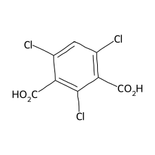 O=C(O)c1c(Cl)cc(Cl)c(C(=O)O)c1Cl